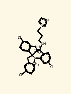 CN(c1cc(Cl)ccc1C(=O)NCCCn1ccnc1)C1(Cc2cccc(Cl)c2)C(=O)Nc2cc(Cl)ccc21